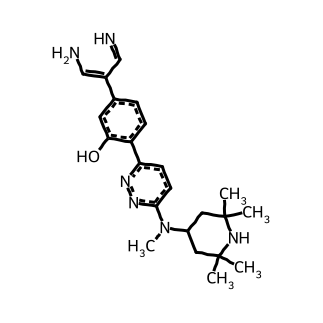 CN(c1ccc(-c2ccc(/C(C=N)=C/N)cc2O)nn1)C1CC(C)(C)NC(C)(C)C1